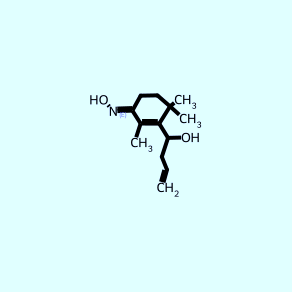 C=CCC(O)C1=C(C)/C(=N/O)CCC1(C)C